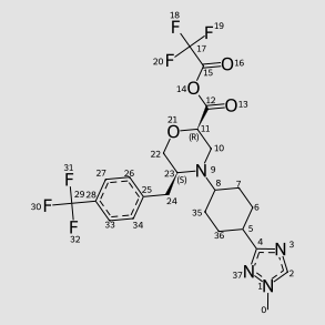 Cn1cnc(C2CCC(N3C[C@H](C(=O)OC(=O)C(F)(F)F)OC[C@@H]3Cc3ccc(C(F)(F)F)cc3)CC2)n1